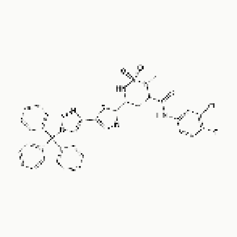 CN1C(C(=O)Nc2ccc(F)c(Cl)c2)CC(c2ncc(-c3cn(C(c4ccccc4)(c4ccccc4)c4ccccc4)cn3)s2)NS1(=O)=O